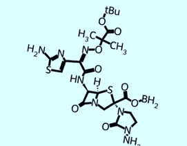 BOC(=O)[C@@]1(N2CCN(N)C2=O)CN2C(=O)[C@@H](NC(=O)/C(=N\OC(C)(C)C(=O)OC(C)(C)C)c3csc(N)n3)[C@H]2S1